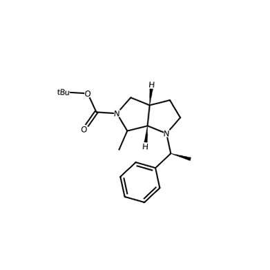 CC1[C@@H]2[C@@H](CCN2[C@@H](C)c2ccccc2)CN1C(=O)OC(C)(C)C